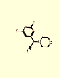 N#CC(c1cc(F)cc(F)c1)N1CCOCC1